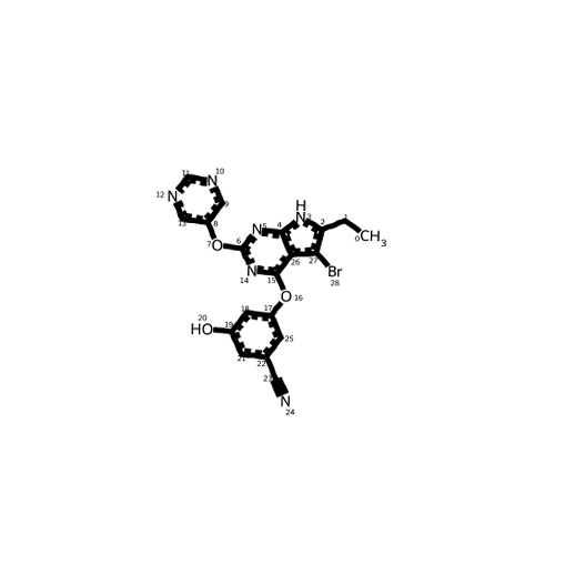 CCc1[nH]c2nc(Oc3cncnc3)nc(Oc3cc(O)cc(C#N)c3)c2c1Br